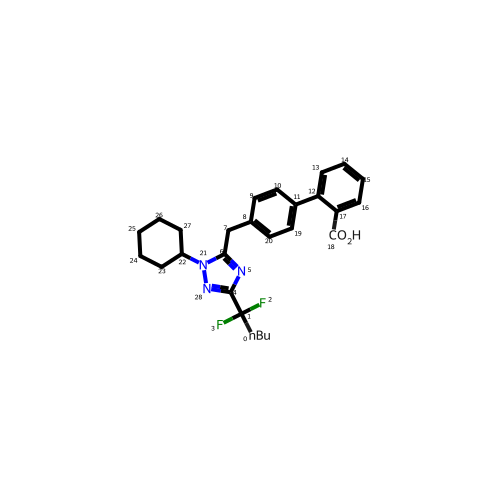 CCCCC(F)(F)c1nc(Cc2ccc(-c3ccccc3C(=O)O)cc2)n(C2CCCCC2)n1